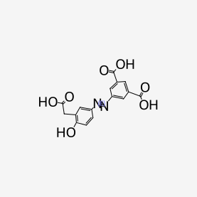 O=C(O)Cc1cc(/N=N/c2cc(C(=O)O)cc(C(=O)O)c2)ccc1O